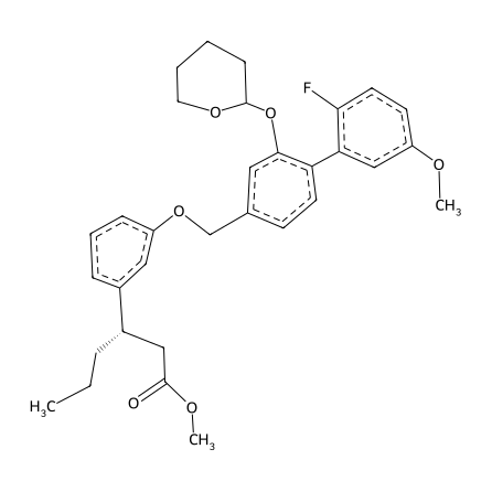 CCC[C@@H](CC(=O)OC)c1cccc(OCc2ccc(-c3cc(OC)ccc3F)c(OC3CCCCO3)c2)c1